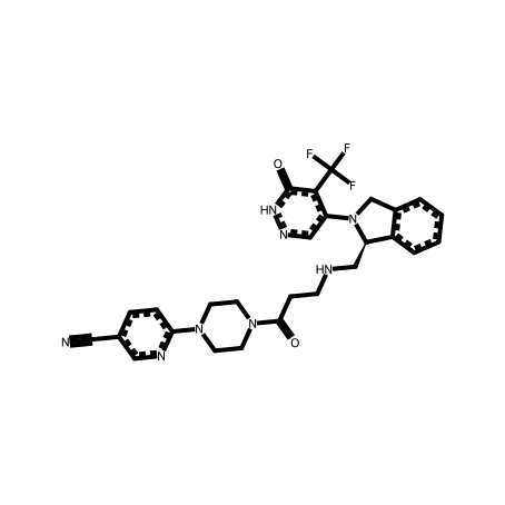 N#Cc1ccc(N2CCN(C(=O)CCNC[C@@H]3c4ccccc4CN3c3cn[nH]c(=O)c3C(F)(F)F)CC2)nc1